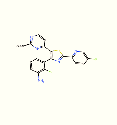 CNc1nccc(-c2sc(-c3ccc(F)cn3)nc2-c2cccc(N)c2F)n1